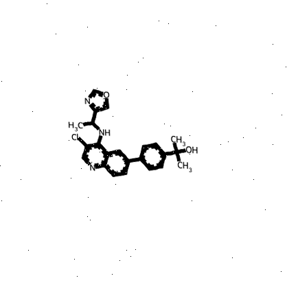 CC(Nc1c(Cl)cnc2ccc(-c3ccc(C(C)(C)O)cc3)cc12)c1cocn1